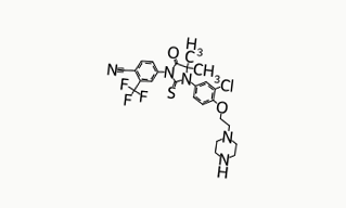 CC1(C)C(=O)N(c2ccc(C#N)c(C(F)(F)F)c2)C(=S)N1c1ccc(OCCN2CCNCC2)c(Cl)c1